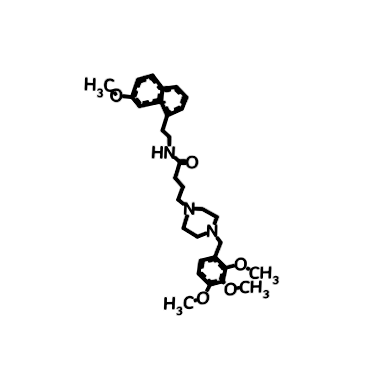 COc1ccc2cccc(CCNC(=O)CCCN3CCN(Cc4ccc(OC)c(OC)c4OC)CC3)c2c1